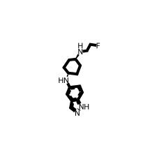 FCCN[C@H]1CC[C@H](Nc2ccc3[nH]ncc3c2)CC1